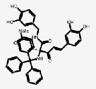 CNC(=O)CC[C@@](NC(c1ccccc1)(c1ccccc1)c1ccccc1)(C(=O)C=Cc1ccc(O)c(O)c1)C(=O)NCc1ccc(O)c(O)c1